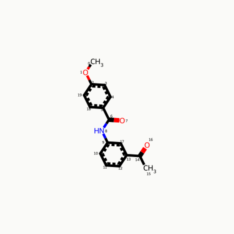 COc1ccc(C(=O)Nc2cccc(C(C)=O)c2)cc1